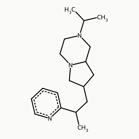 CC(CC1CC2CN(C(C)C)CCN2C1)c1ccccn1